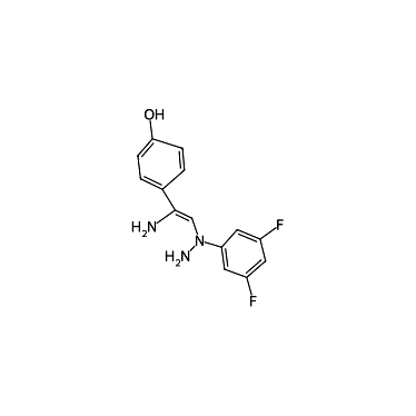 N/C(=C\N(N)c1cc(F)cc(F)c1)c1ccc(O)cc1